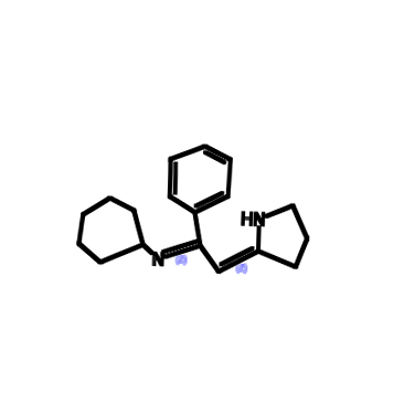 C(=C1\CCCN1)/C(=N/C1CCCCC1)c1ccccc1